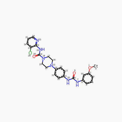 CCOc1cccc(NC(=O)Nc2ccc(N3CCN(C(=O)Nc4ncccc4Cl)CC3)cc2)c1